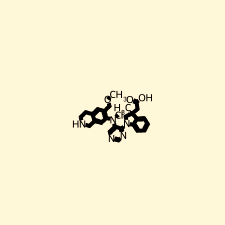 COCc1cc2c(cc1N(Cl)c1cncnc1N1C[C@@](C)(CC(=O)O)c3ccccc31)CNCC2